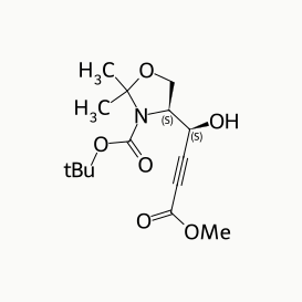 COC(=O)C#C[C@H](O)[C@@H]1COC(C)(C)N1C(=O)OC(C)(C)C